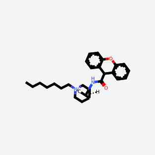 CCCCCCC[N+]12CCC(CC1)[C@H](NC(=O)C1c3ccccc3Oc3ccccc31)C2